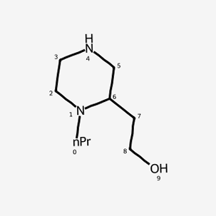 CCCN1CCNCC1CCO